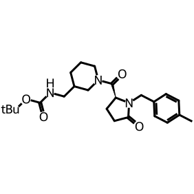 Cc1ccc(CN2C(=O)CC[C@H]2C(=O)N2CCCC(CNC(=O)OC(C)(C)C)C2)cc1